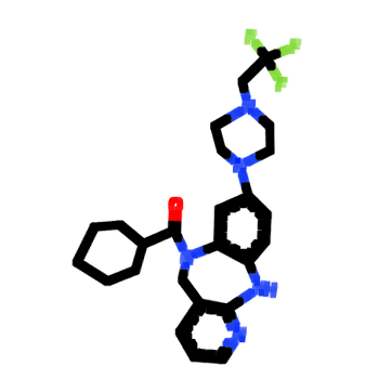 O=C(C1CCCCC1)N1Cc2cccnc2Nc2ccc(N3CCN(CC(F)(F)F)CC3)cc21